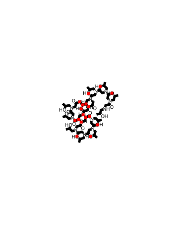 CC(O)CNCC(=O)N(CC(=O)N(CC(=O)N(CC(=O)N(CC(=O)N(CC(=O)N(CC(=O)N(CC(=O)N(CC(=O)N(CC(=O)N(CC(=O)N(CC(=O)N(CC(=O)N(CC(N)=O)CC(C)O)CC(C)O)CC(C)O)CC(C)O)CC(C)O)CC(C)O)CC(C)O)CC(C)O)CC(C)O)CC(C)O)CC(C)O)CC(C)O)CC(C)O